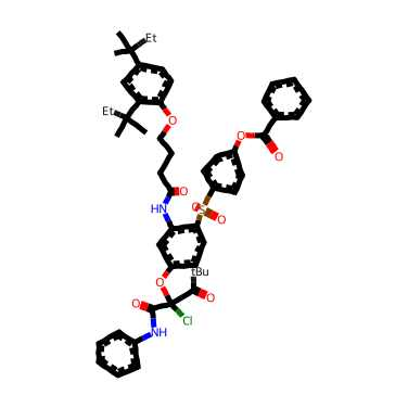 CCC(C)(C)c1ccc(OCCCC(=O)Nc2cc(OC(Cl)(C(=O)Nc3ccccc3)C(=O)C(C)(C)C)ccc2S(=O)(=O)c2ccc(OC(=O)c3ccccc3)cc2)c(C(C)(C)CC)c1